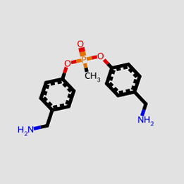 CP(=O)(Oc1ccc(CN)cc1)Oc1ccc(CN)cc1